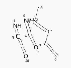 C=CC=CC.N=C=O.N=C=O